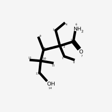 CCC(CC)(C(N)=O)C(C)C(C)(C)CO